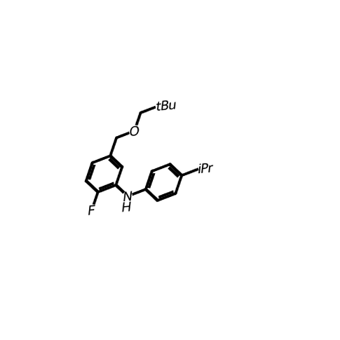 CC(C)c1ccc(Nc2cc(COCC(C)(C)C)ccc2F)cc1